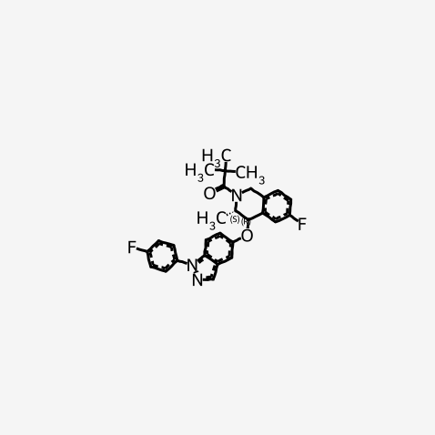 C[C@H]1[C@H](Oc2ccc3c(cnn3-c3ccc(F)cc3)c2)c2cc(F)ccc2CN1C(=O)C(C)(C)C